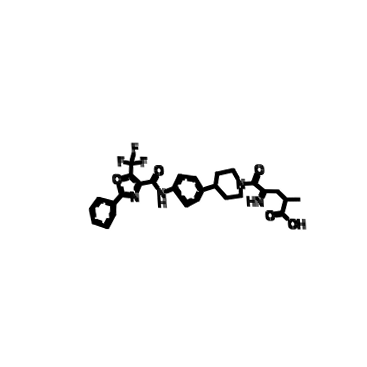 CC(CC(=N)C(=O)N1CCC(c2ccc(NC(=O)c3nc(-c4ccccc4)oc3C(F)(F)F)cc2)CC1)C(=O)O